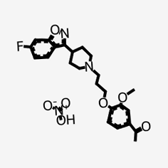 COc1cc(C(C)=O)ccc1OCCCN1CCC(c2noc3cc(F)ccc23)CC1.O=[N+]([O-])O